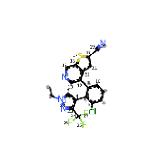 CCn1cc(-c2c(Cl)cccc2-c2cncc3sc(C#N)cc23)c(C(F)(F)F)n1